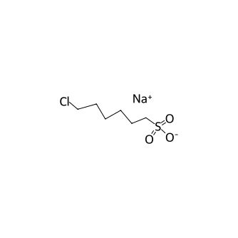 O=S(=O)([O-])CCCCCCCl.[Na+]